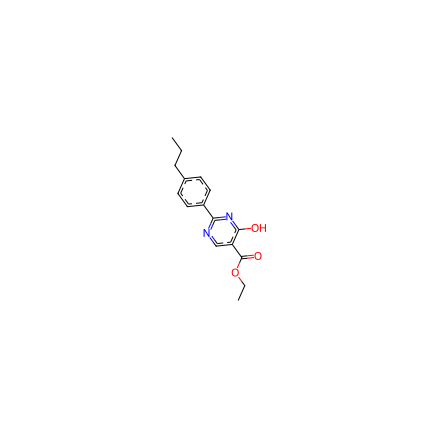 CCCc1ccc(-c2ncc(C(=O)OCC)c(O)n2)cc1